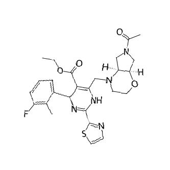 CCOC(=O)C1=C(CN2CCO[C@@H]3CN(C(C)=O)C[C@@H]32)NC(c2nccs2)=NC1c1cccc(F)c1C